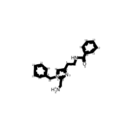 NCc1nc(CCNC(=O)c2ccccc2)cn1Cc1ccccc1